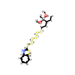 CCC(CCSSSSSSc1nc2ccccc2s1)[Si](C)(OC)OC